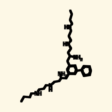 CCCCNCCCNCCC(N)Cc1cc(CC(N)CCNCCCNCCCC)cc(-c2ccccc2)c1